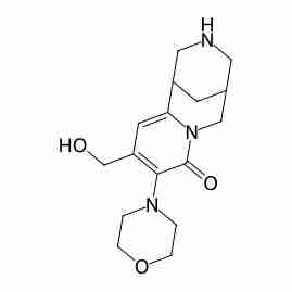 O=c1c(N2CCOCC2)c(CO)cc2n1CC1CNCC2C1